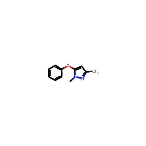 Cn1nc(C(F)(F)F)cc1Oc1c[c]ccc1